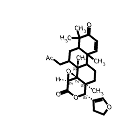 CC(=O)CC1CC2C(C)(C)C(=O)C=CC2(C)C2CC[C@@]3(C)[C@H](C4=COCC4)OC(=O)[C@H]4O[C@]43[C@]12C